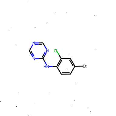 CCc1ccc(Nc2ncncn2)c(Cl)c1